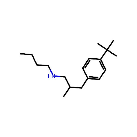 CCCCNCC(C)Cc1ccc(C(C)(C)C)cc1